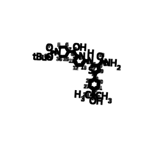 CC(C)(C)OC(=O)N1CCC(C(O)c2cccc(Nc3sc(-c4ccc(C(C)(C)O)cc4)cc3C(N)=O)n2)CC1